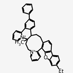 CCc1ccc2c(c1)oc1c3c(ccc12)CCC1c2ccc(-c4ccccc4)cc2-c2cccc[n+]2C1(C)CC[n+]1ccccc1-3